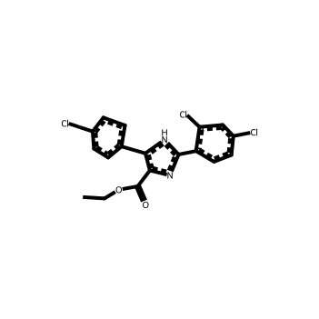 CCOC(=O)c1nc(-c2ccc(Cl)cc2Cl)[nH]c1-c1ccc(Cl)cc1